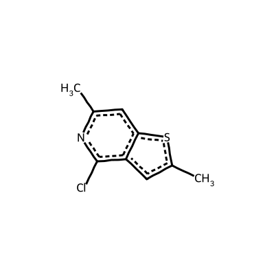 Cc1cc2sc(C)cc2c(Cl)n1